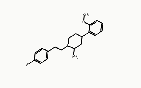 COc1ccccc1C1CCN(CCc2ccc(F)cc2)C(N)C1